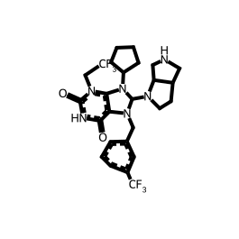 O=c1[nH]c(=O)n(CC(F)(F)F)c2c1N(Cc1cccc(C(F)(F)F)c1)C(N1CCC3CNCC31)N2C1CCCC1